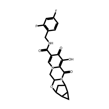 O=C(NCc1ccc(F)cc1F)c1cn2c(c(O)c1=O)C(=O)N1C(C2)OC2CC1C1CC21